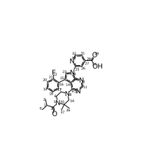 CC(C)C(=O)N1CCN(c2ncnc3c2c(-c2ccccc2F)cn3-c2cc(C(=O)O)ccn2)CC1(C)C